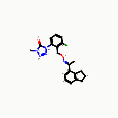 C/C(=N\OCc1c(Cl)cccc1-n1nnn(C)c1=O)c1cccc2c1CCC2